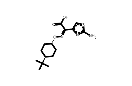 CC(C)(C)[C@H]1CC[C@H](ON=C(C(=O)O)c2csc(N)n2)CC1